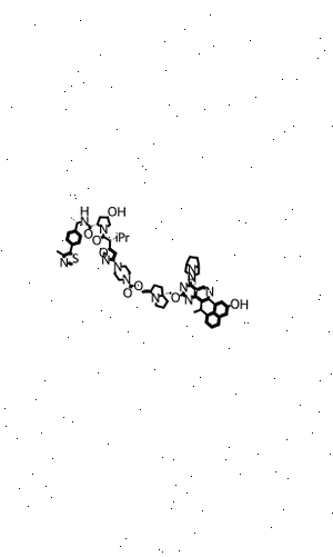 Cc1ncsc1-c1ccc([C@H](C)NC(=O)[C@@H]2C[C@@H](O)CN2C(=O)[C@@H](c2cc(N3CCN(C(=O)O/C=C4\CC[C@@]5(COc6nc(N7CC8CCC(C7)N8)c7cnc8c(c7n6)C(C)c6cccc7cc(O)cc-8c67)CCCN45)CC3)no2)C(C)C)cc1